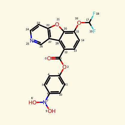 O=C(Oc1ccc(N(O)O)cc1)c1ccc(OC(F)F)c2oc3ccncc3c12